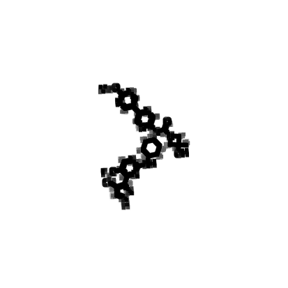 COc1ncc(-c2cnc(N(C(=O)N3CC(C)(O)C3)[C@H]3CC[C@H](Nc4ncc(C(F)(F)F)c(-c5n[nH]cc5Cl)n4)CC3)cn2)cn1